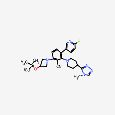 Cn1cnnc1C1CCN(c2c(-c3ccc(F)nc3)ccc(N3CC(O[Si](C)(C)C(C)(C)C)C3)c2C#N)CC1